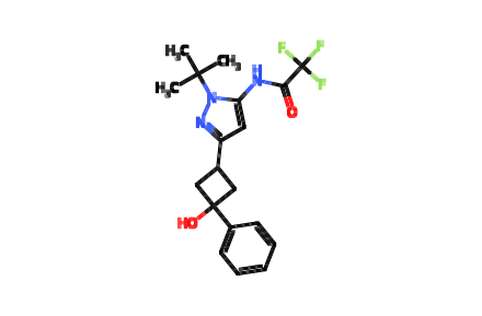 CC(C)(C)n1nc(C2CC(O)(c3ccccc3)C2)cc1NC(=O)C(F)(F)F